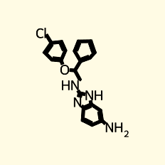 Nc1ccc2nc(NCC(Oc3ccc(Cl)cc3)c3ccccc3)[nH]c2c1